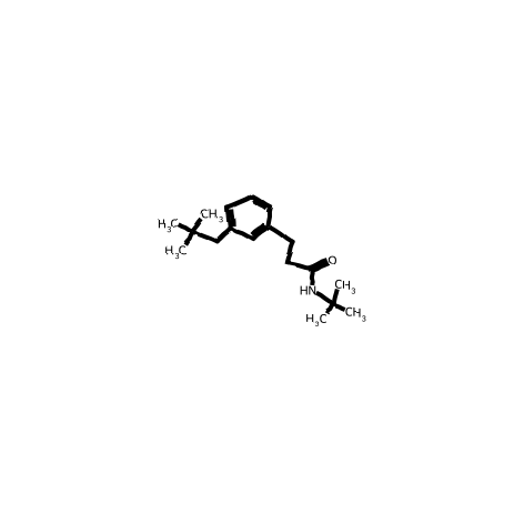 CC(C)(C)Cc1cccc(CCC(=O)NC(C)(C)C)c1